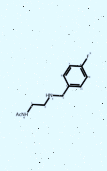 CC(=O)NCCNCc1ccc(F)cc1